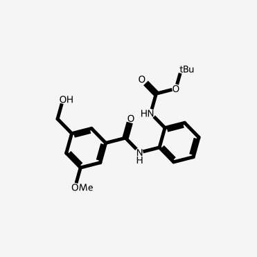 COc1cc(CO)cc(C(=O)Nc2ccccc2NC(=O)OC(C)(C)C)c1